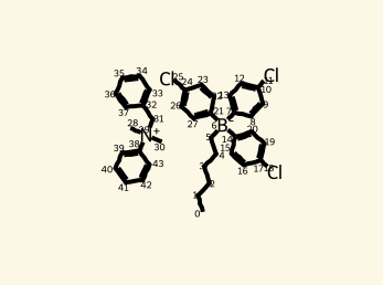 CCCCCC[B-](c1ccc(Cl)cc1)(c1ccc(Cl)cc1)c1ccc(Cl)cc1.C[N+](C)(Cc1ccccc1)c1ccccc1